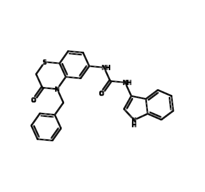 O=C(Nc1ccc2c(c1)N(Cc1ccccc1)C(=O)CS2)Nc1c[nH]c2ccccc12